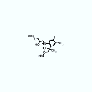 CCCCOCC(O)CNc1cc(F)c(N)cc1C(C)(C)COCCCC